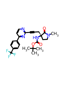 CN1CC[C@](CC#Cc2nccc(-c3ccc(C(F)(F)F)cc3)n2)(NC(=O)OC(C)(C)C)C1=O